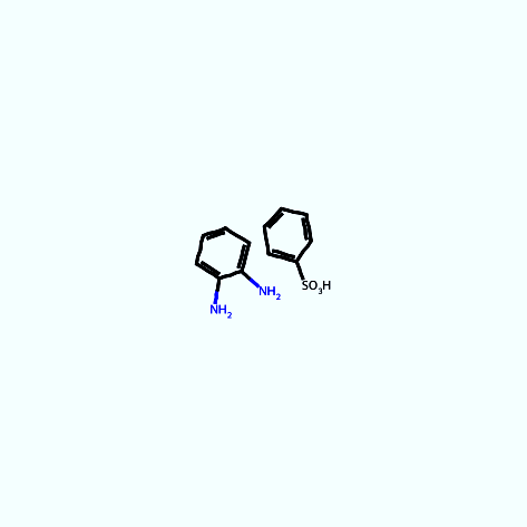 Nc1ccccc1N.O=S(=O)(O)c1ccccc1